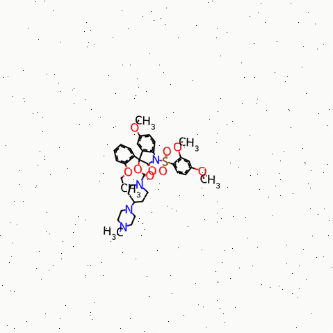 CCOc1ccccc1C1(OC(=O)N2CCC(N3CCN(C)CC3)CC2)C(=O)N(S(=O)(=O)c2ccc(OC)cc2OC)c2ccc(OC)cc21